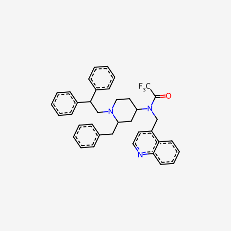 O=C(N(Cc1ccnc2ccccc12)C1CCN(CC(c2ccccc2)c2ccccc2)C(Cc2ccccc2)C1)C(F)(F)F